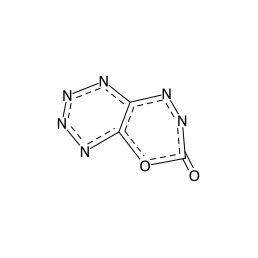 O=c1nnc2nnnnc2o1